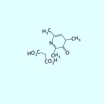 CC1=CC(C)C(=O)C(C)=N1.O=C(O)CC(=O)O